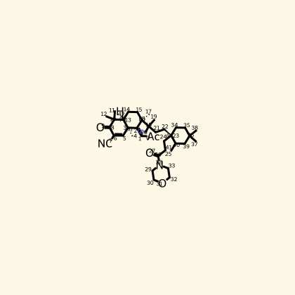 CC(=O)/C=C1/[C@@]2(C)C=C(C#N)C(=O)C(C)(C)[C@@H]2CC[C@@]1(C)C(C)(C)CC[C@@]1(CCC(=O)N2CCOCC2)CCC(C)(C)CC1C